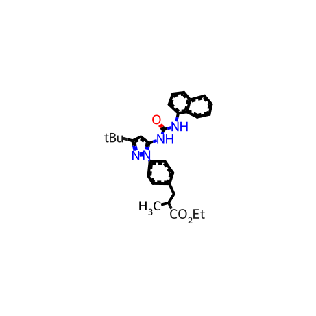 CCOC(=O)C(C)Cc1ccc(-n2nc(C(C)(C)C)cc2NC(=O)Nc2cccc3ccccc23)cc1